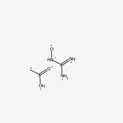 CC(=O)O.N=C(N)NCl